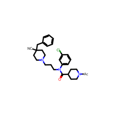 CC(=O)N1CCC(C(=O)N(CCCN2CCC(C#N)(Cc3ccccc3)CC2)c2cccc(Cl)c2)CC1